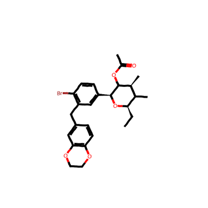 CC[C@H]1O[C@@H](c2ccc(Br)c(Cc3ccc4c(c3)OCCO4)c2)C(OC(C)=O)[C@@H](C)C1C